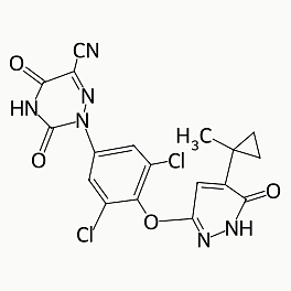 CC1(c2cc(Oc3c(Cl)cc(-n4nc(C#N)c(=O)[nH]c4=O)cc3Cl)n[nH]c2=O)CC1